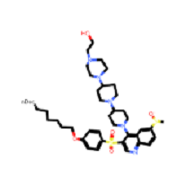 CCCCCCCCCCCCCCCCOc1ccc(S(=O)(=O)c2cnc3ccc([S+](C)[O-])cc3c2N2CCC(N3CCC(N4CCN(CCO)CC4)CC3)CC2)cc1